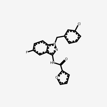 O=C(Nc1nn(Cc2cccc(Cl)c2)c2ccc(F)cc12)c1ccco1